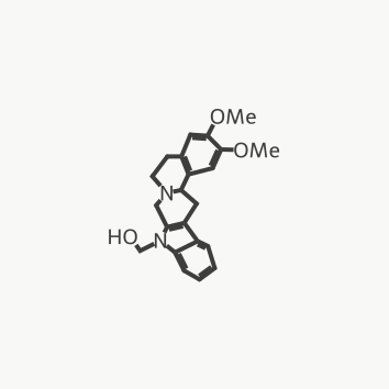 COc1cc2c(cc1OC)C1Cc3c(n(CO)c4ccccc34)CN1CC2